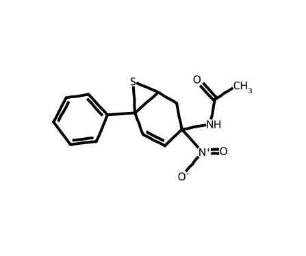 CC(=O)NC1([N+](=O)[O-])C=CC2(c3ccccc3)SC2C1